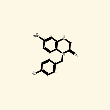 N#Cc1ccc(CN2C(=O)COc3cc(C=O)ccc32)cc1